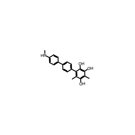 CNc1ccc(-c2ccc(-c3c(C)c(O)c(C)c(O)c3O)cc2)cc1